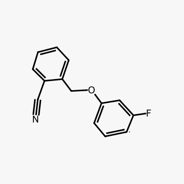 N#Cc1ccccc1COc1cc[c]c(F)c1